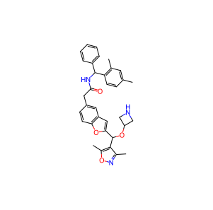 Cc1ccc(C(NC(=O)Cc2ccc3oc(C(OC4CNC4)c4c(C)noc4C)cc3c2)c2ccccc2)c(C)c1